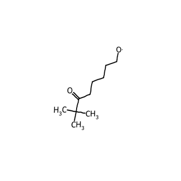 CC(C)(C)C(=O)CCCCC[O]